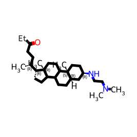 CCC(=O)CC[C@@H](C)[C@H]1CCC2C3CC[C@@H]4C[C@H](NCCN(C)C)CC[C@]4(C)C3CC[C@@]21C